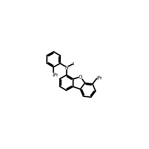 CC(C)c1ccccc1N(I)c1cccc2c1oc1c(C(C)C)cccc12